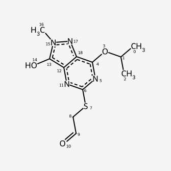 CC(C)Oc1nc(SCC=O)nc2c(O)n(C)nc12